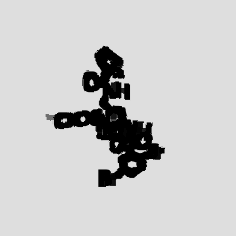 CC(C)(C)[N+]1(C(=O)[O-])C[C@H](NS(=O)(=O)c2cc(Br)ccc2Br)C[C@@H]1CNC(=O)c1cccs1